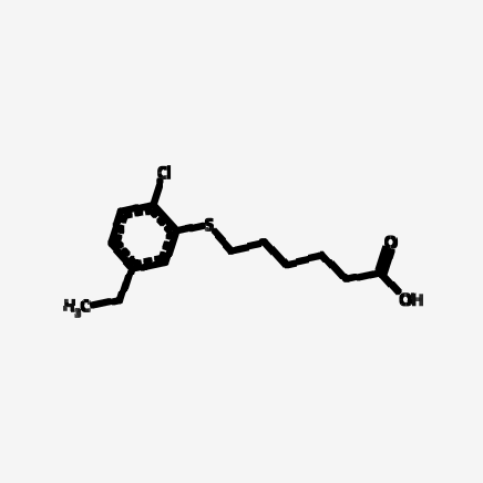 CCc1ccc(Cl)c(SCCCCCC(=O)O)c1